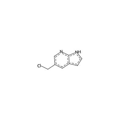 ClCc1cnc2[nH]ccc2c1